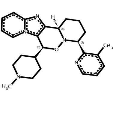 Cc1cccnc1[C@@H]1CCC[C@@H]2c3nc4ccccn4c3[C@H](C3CCN(C)CC3)ON21